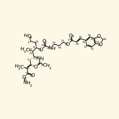 CC(=O)N[C@H](C/C=C(\C)C(=O)ON)[C@@H](C)[C@@H](CCO)OC(=O)NCCCOC(=O)/C=C/c1ccc2c(c1)OCO2